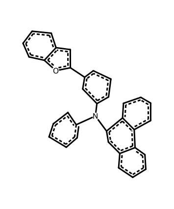 c1ccc(N(c2cccc(-c3cc4ccccc4o3)c2)c2cc3ccccc3c3ccccc23)cc1